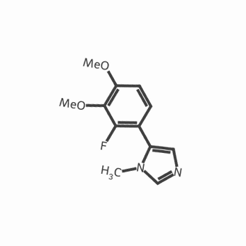 COc1ccc(-c2cncn2C)c(F)c1OC